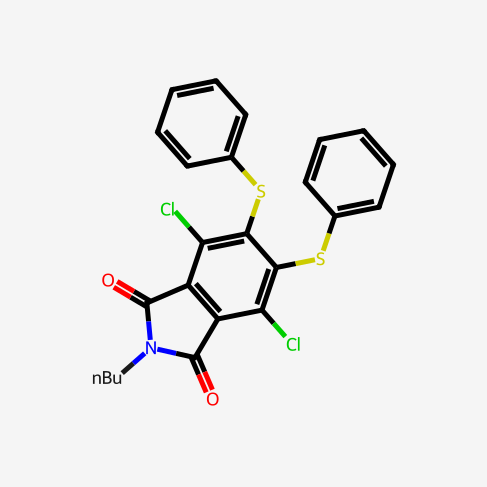 CCCCN1C(=O)c2c(Cl)c(Sc3ccccc3)c(Sc3ccccc3)c(Cl)c2C1=O